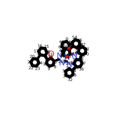 c1ccc(-c2nc(-c3cccc4c3oc3cccc(-c5ccccc5)c34)nc(-n3c4ccccc4c4ccc5c6ccccc6n(-c6ccccc6-c6ccccc6)c5c43)n2)cc1